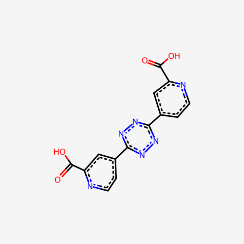 O=C(O)c1cc(-c2nnc(-c3ccnc(C(=O)O)c3)nn2)ccn1